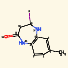 Cc1ccc2c(c1)NC(I)CC(=O)N2